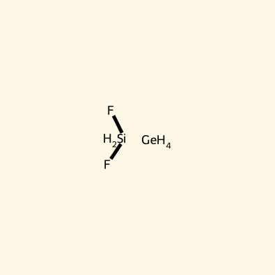 F[SiH2]F.[GeH4]